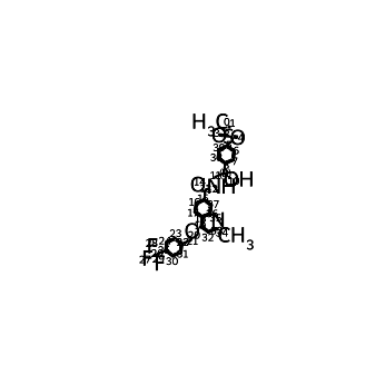 CCS(=O)(=O)c1ccc([C@@H](O)CNC(=O)c2ccc3c(OCc4ccc(C(F)(F)F)cc4)cc(C)nc3c2)cc1